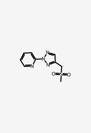 CS(=O)(=O)[CH]c1cnn(-c2ccccn2)n1